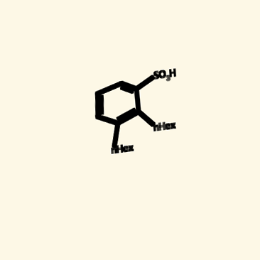 CCCCCCc1cccc(S(=O)(=O)O)c1CCCCCC